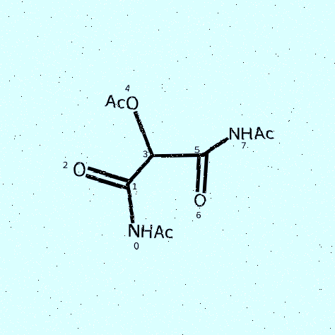 CC(=O)NC(=O)C(OC(C)=O)C(=O)NC(C)=O